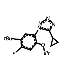 CC(C)Oc1cc(F)c(C(C)(C)C)cc1-n1nnnc1C1CC1